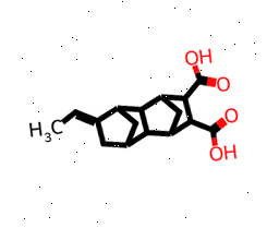 C/C=C1\CC2CC1C1C3CC(C(C(=O)O)C3C(=O)O)C21